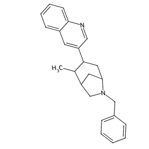 CC1C2CC(CC1c1cnc3ccccc3c1)N(Cc1ccccc1)C2